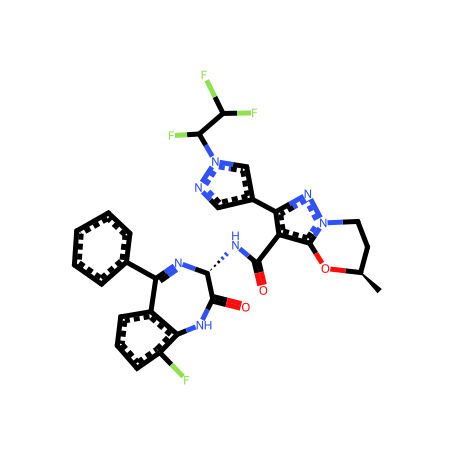 C[C@@H]1CCn2nc(-c3cnn(C(F)C(F)F)c3)c(C(=O)N[C@H]3N=C(c4ccccc4)c4cccc(F)c4NC3=O)c2O1